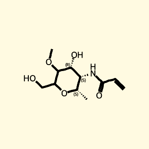 C=CC(=O)N[C@@H]1[C@H](C)OC(CO)C(OC)[C@@H]1O